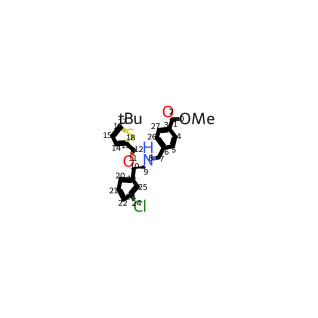 COC(=O)c1ccc(CNC[C@H](OCc2ccc(C(C)(C)C)s2)c2cccc(Cl)c2)cc1